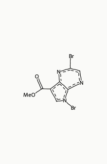 COC(=O)c1cn(Br)c2ncc(Br)nc12